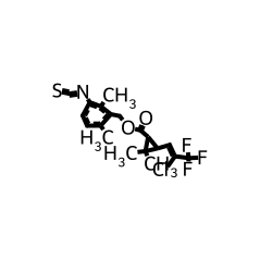 Cc1ccc(N=C=S)c(C)c1COC(=O)C1C(/C=C(\Cl)C(F)(F)F)C1(C)C